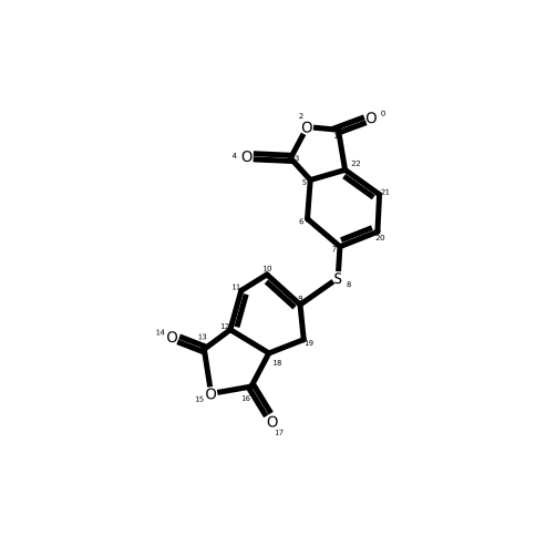 O=C1OC(=O)C2CC(SC3=CC=C4C(=O)OC(=O)C4C3)=CC=C12